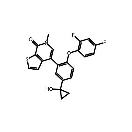 Cn1cc(-c2cc(C3(O)CC3)ccc2Oc2ccc(F)cc2F)c2ccsc2c1=O